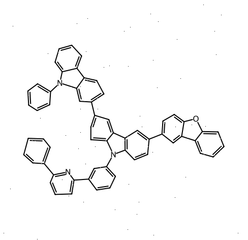 c1ccc(-c2cccc(-c3cccc(-n4c5ccc(-c6ccc7oc8ccccc8c7c6)cc5c5cc(-c6ccc7c8ccccc8n(-c8ccccc8)c7c6)ccc54)c3)n2)cc1